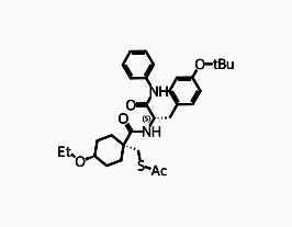 CCO[C@H]1CC[C@@](CSC(C)=O)(C(=O)N[C@@H](Cc2ccc(OC(C)(C)C)cc2)C(=O)Nc2ccccc2)CC1